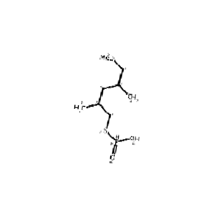 COCC(C)CC(C)CS[PH](=O)O